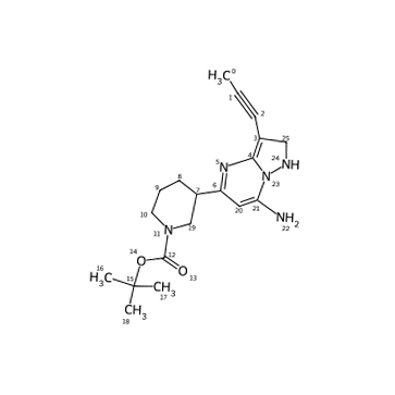 CC#CC1=C2N=C(C3CCCN(C(=O)OC(C)(C)C)C3)C=C(N)N2NC1